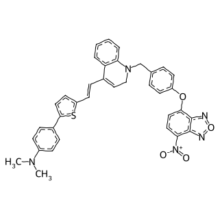 CN(C)c1ccc(-c2ccc(/C=C/C3=CCN(Cc4ccc(Oc5ccc([N+](=O)[O-])c6nonc56)cc4)c4ccccc43)s2)cc1